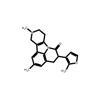 Cc1cc2c3c(c1)c1c(n3C(=O)C(c3ccoc3C)C2)CCN(C)C1